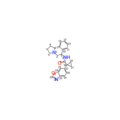 O=C(NC(CN1CCCC1)c1ccccc1)C1(c2ccc3ncoc3c2)CC1